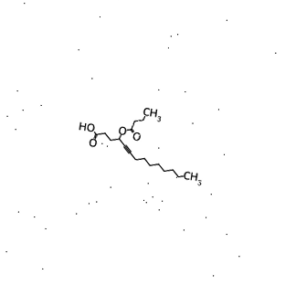 CCCCCCCCC#CC(CCC(=O)O)OC(=O)CCC